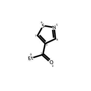 CCC(=O)c1cnsc1